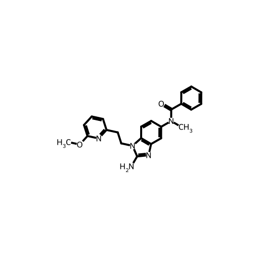 COc1cccc(CCn2c(N)nc3cc(N(C)C(=O)c4ccccc4)ccc32)n1